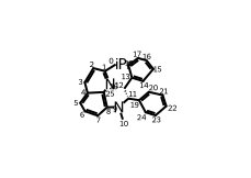 CC(C)c1ccc2cccc(N(C)[C@H](Cc3ccccc3)c3ccccc3)c2n1